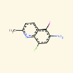 Cc1ccc2c(I)c(N)cc(F)c2n1